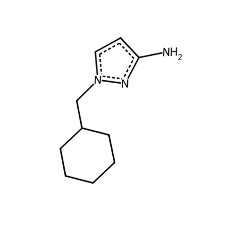 Nc1ccn(CC2CCCCC2)n1